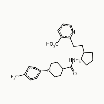 O=C(O)c1cccnc1CCC1CCC[C@@H]1NC(=O)C1CCN(c2ccc(C(F)(F)F)cc2)CC1